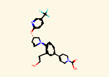 O=C(O)N1CC=C(c2ccc(N3CC[C@H](Oc4ccc(C(F)(F)F)cn4)C3)c(CCO)c2)CC1